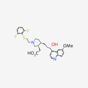 COc1ccc2nccc([C@@H](O)CC[C@@H]3CCN(CCSc4c(F)cccc4F)C[C@@H]3CC(=O)O)c2c1